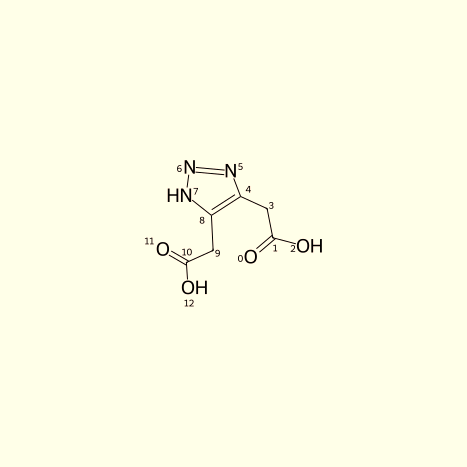 O=C(O)Cc1nn[nH]c1CC(=O)O